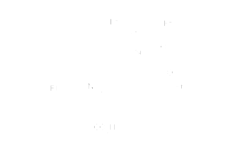 CCC(N)CC(=O)O.CCOC1CCCC[Si]1(OCC)OCC